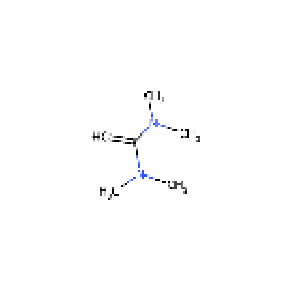 [CH]=C(N(C)C)N(C)C